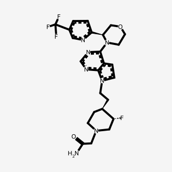 NC(=O)CN1CC[C@@H](CCn2ccc3c(N4CCOC[C@@H]4c4ccc(C(F)(F)F)cn4)ncnc32)[C@H](F)C1